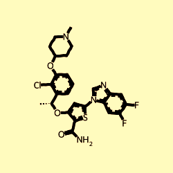 C[C@@H](Oc1cc(-n2cnc3cc(F)c(F)cc32)sc1C(N)=O)c1cccc(OC2CCN(C)CC2)c1Cl